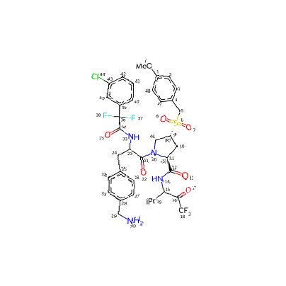 COc1ccc(CS(=O)(=O)[C@@H]2C[C@@H](C(=O)NC(C(=O)C(F)(F)F)C(C)C)N(C(=O)C(Cc3ccc(CN)cc3)NC(=O)C(F)(F)c3cccc(Cl)c3)C2)cc1